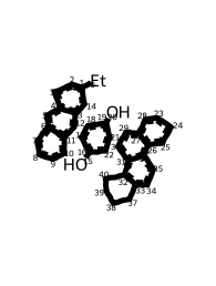 CCc1ccc2cc3ccccc3cc2c1.Oc1ccc(O)cc1.c1ccc2c(c1)ccc1c3c(ccc12)CCCC3